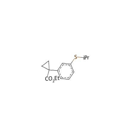 CCOC(=O)C1(c2cccc(SC(C)C)c2)CC1